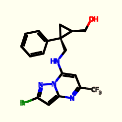 OC[C@@H]1C[C@@]1(CNc1cc(C(F)(F)F)nc2cc(Br)nn12)c1ccccc1